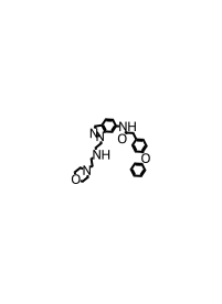 O=C(Cc1ccc(Oc2ccccc2)cc1)Nc1ccc2cnn(CCNCCN3CCOCC3)c2c1